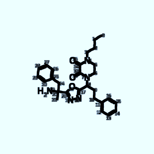 CCCCN1CCN(C(CCc2ccccc2)c2nnc(C(C)(N)Cc3ccccc3)o2)C(=O)C1=O